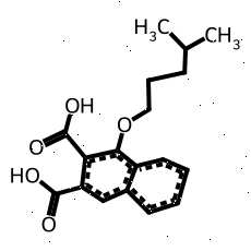 CC(C)CCCOc1c(C(=O)O)c(C(=O)O)cc2ccccc12